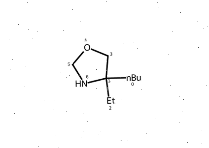 CCCCC1(CC)COCN1